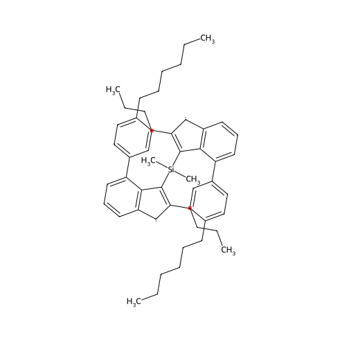 CCCCCCc1ccc(-c2cccc3c2C([Si](C)(C)C2=C(CCCC)[CH]c4cccc(-c5ccc(CCCCCC)cc5)c42)=C(CCCC)[CH]3)cc1